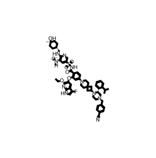 CCOc1nc2[nH]cc(F)c2cc1Oc1cc(N2CCC3(CC2)CC(N2CCN(Cc4ccc(C#N)cc4)C[C@H]2c2ccccc2C(C)C)C3)ccc1C(=O)NS(=O)(=O)c1cnc(NC[C@H]2CC[C@](C)(O)CC2)c([NH+](C)[O-])c1